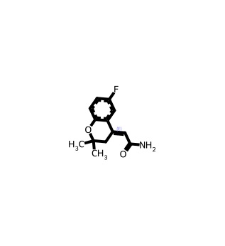 CC1(C)C/C(=C\C(N)=O)c2cc(F)ccc2O1